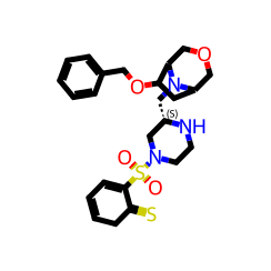 O=S(=O)(C1=CC=CCC1=S)N1CCN[C@@H](CN2C3COCC2C(OCc2ccccc2)C3)C1